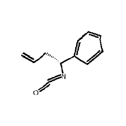 C=CC[C@@H](N=C=O)c1ccccc1